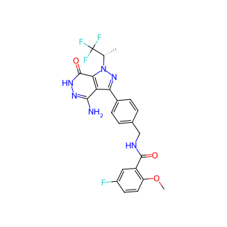 COc1ccc(F)cc1C(=O)NCc1ccc(-c2nn([C@@H](C)C(F)(F)F)c3c(=O)[nH]nc(N)c23)cc1